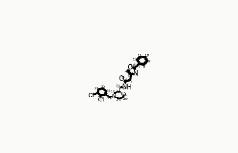 O=C(Cc1coc(-c2ccccc2)n1)NC[C@H]1CN(Cc2cccc(Cl)c2Cl)CCO1